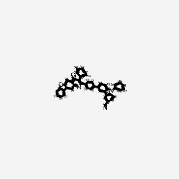 N#Cc1ccc2c(c1)c1cc(-c3ccc(-c4nc5cc6c(cc5c5oc7ccccc7c45)oc4ccccc46)cc3)ccc1n2-c1ccccc1